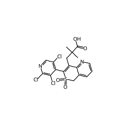 CC(C)(CC1=C(c2c(Cl)cnc(Cl)c2Cl)S(=O)(=O)Cc2cccnc21)C(=O)O